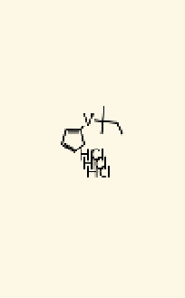 CC[C](C)(C)[V][C]1=CC=CC1.Cl.Cl.Cl